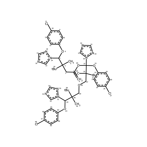 C=C(CC(C)(C(Oc1ccc(Cl)cc1)n1cncn1)C(C)(C)C)OC(Oc1ccc(Cl)cc1)(n1cncn1)C(C)(COCC(C)(C(Oc1ccc(Cl)cc1)n1cncn1)C(C)(C)C)C(C)(C)C